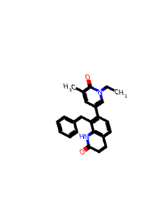 CCn1cc(-c2ccc3c(c2Cc2ccccc2)NC(=O)CC3)cc(C)c1=O